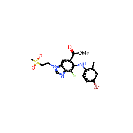 COC(=O)c1cc2c(ncn2CCS(C)(=O)=O)c(F)c1Nc1ccc(Br)cc1C